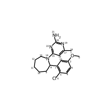 COc1ccc(Cl)c(C2CCCCCN2c2cc(C)nc(N)n2)c1